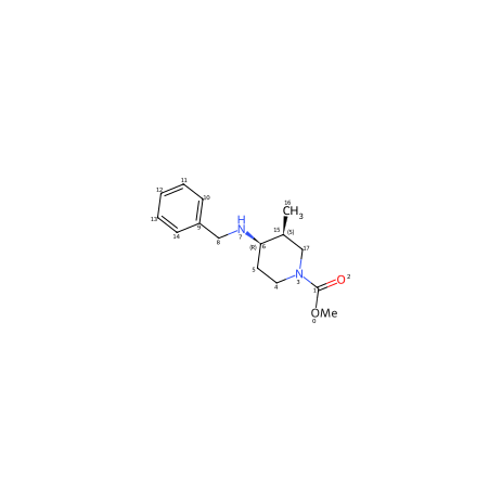 COC(=O)N1CC[C@@H](NCc2ccccc2)[C@@H](C)C1